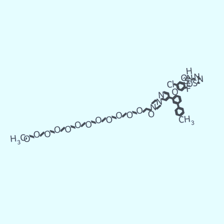 COCCOCCOCCOCCOCCOCCOCCOCCOCCOCCOCCOCCC(=O)N1CCN(c2cc(-c3cc(-c4ccc(C)cc4)ccc3Oc3cc(F)c(S(=O)(=O)Nc4nncs4)cc3Cl)ccn2)CC1